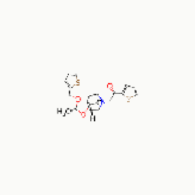 C=C(OCc1cccs1)O[C@H]1C[N+]2(CC(=O)c3cccs3)CCC1CC2